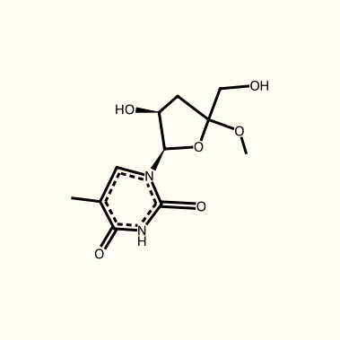 COC1(CO)C[C@H](O)[C@H](n2cc(C)c(=O)[nH]c2=O)O1